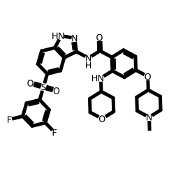 CN1CCC(Oc2ccc(C(=O)Nc3n[nH]c4ccc(S(=O)(=O)c5cc(F)cc(F)c5)cc34)c(NC3CCOCC3)c2)CC1